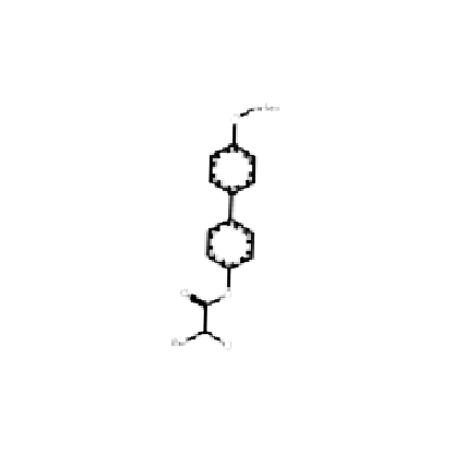 CCCCCCOc1ccc(-c2ccc(OC(=O)C(Cl)C(C)CC)cc2)cc1